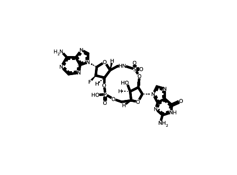 Nc1nc2c(ncn2[C@@H]2O[C@@H]3COP(=O)(O)O[C@H]4[C@@H](F)[C@H](n5cnc6c(N)ncnc65)O[C@@H]4CNS(=O)(=O)O[C@@H]2[C@@H]3O)c(=O)[nH]1